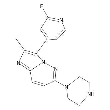 Cc1nc2ccc(N3CCNCC3)nn2c1-c1ccnc(F)c1